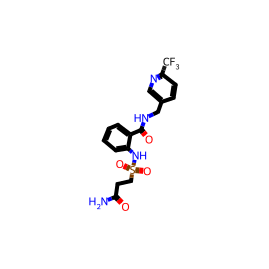 NC(=O)CCS(=O)(=O)Nc1ccccc1C(=O)NCc1ccc(C(F)(F)F)nc1